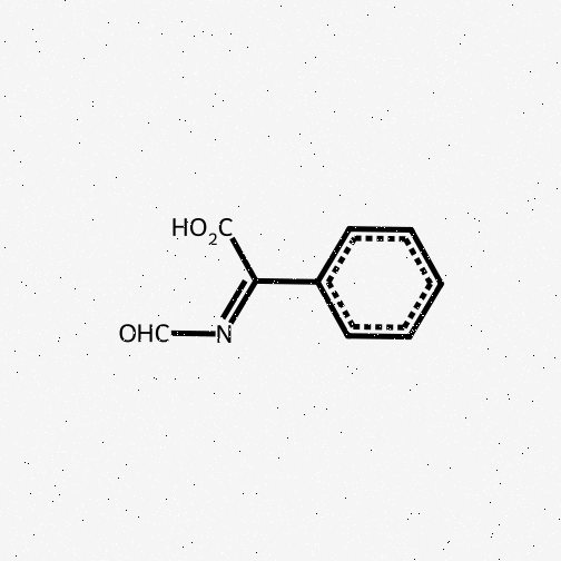 O=CN=C(C(=O)O)c1ccccc1